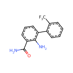 NC(=O)c1cccc(-c2ccccc2C(F)(F)F)c1N